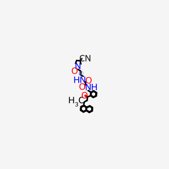 CC(CC(=O)c1ccccc1CNC(=O)C(=O)NC/C=C/C(=O)N1CCC(C#N)C1)c1cccc2ccccc12